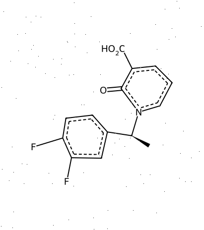 C[C@@H](c1ccc(F)c(F)c1)n1cccc(C(=O)O)c1=O